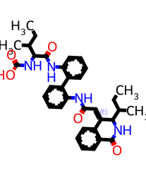 CCC(C)C(NC(=O)O)C(=O)Nc1ccccc1-c1ccccc1NC(=O)/C=C1\c2ccccc2C(=O)NC1C(C)CC